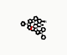 C=N/C=C(\C(=C(/C)n1c2ccccc2c2ccc3c(c4ccccc4n3-c3ccccc3)c21)c1cccc(C#N)c1)n1c2ccccc2c2ccc3c(c4ccccc4n3-c3ccccc3)c21